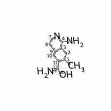 Cc1cc2c(N)nccc2cc1C(N)O